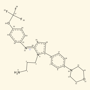 NCCCn1c(-c2ccc(N3CCOCC3)cc2)cs/c1=N\c1ccc(OC(F)(F)F)cc1